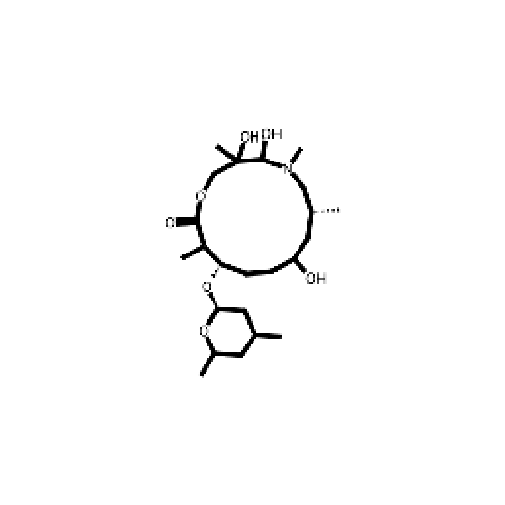 CC1CC(C)O[C@@H](O[C@H]2CCC(O)C[C@@H](C)CN(C)C(O)C(C)(O)COC(=O)C2C)C1